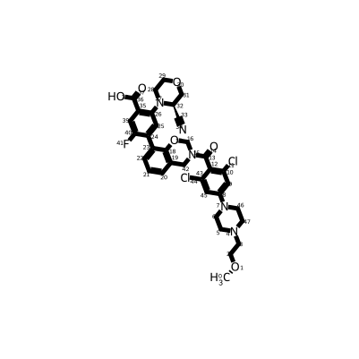 COCCN1CCN(c2cc(Cl)c(C(=O)N3COc4c(cccc4-c4cc(N5CCOC[C@H]5C#N)c(C(=O)O)cc4F)C3)c(Cl)c2)CC1